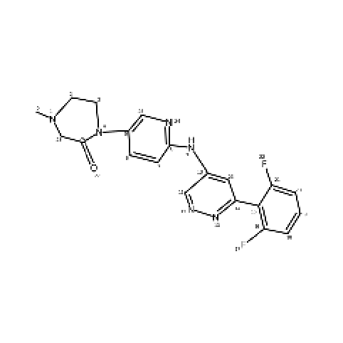 CN1CCN(c2ccc(Nc3cnnc(-c4c(F)cccc4F)c3)nc2)C(=O)C1